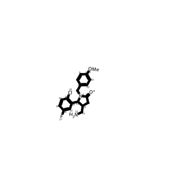 COc1ccc(CN2C(=O)CC(CN)C2c2cc(F)ccc2Cl)cc1